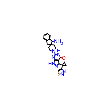 N[C@@H]1c2ccccc2CC12CCN(c1nc3[nH]nc(C4(c5csnn5)CC4)c3c(=O)[nH]1)CC2